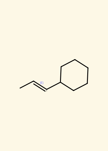 C/C=[C]/C1CCCCC1